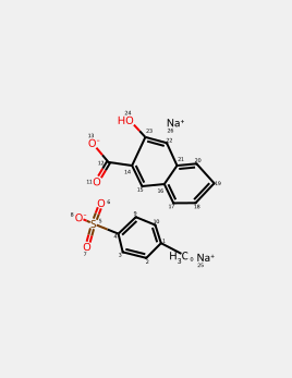 Cc1ccc(S(=O)(=O)[O-])cc1.O=C([O-])c1cc2ccccc2cc1O.[Na+].[Na+]